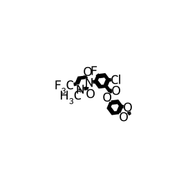 Cn1c(C(F)(F)F)cc(=O)n(-c2cc(C(=O)Oc3ccc4c(c3)OCO4)c(Cl)cc2F)c1=O